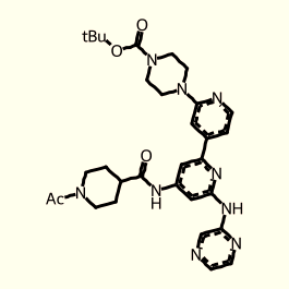 CC(=O)N1CCC(C(=O)Nc2cc(Nc3cnccn3)nc(-c3ccnc(N4CCN(C(=O)OC(C)(C)C)CC4)c3)c2)CC1